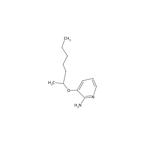 CCCCCC(C)Oc1cccnc1N